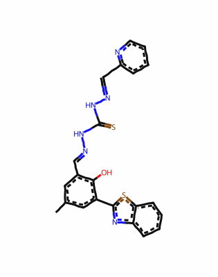 Cc1cc(C=NNC(=S)NN=Cc2ccccn2)c(O)c(-c2nc3ccccc3s2)c1